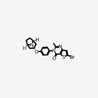 Cc1nc2cc(Br)sc2c(=O)n1-c1ccc(O[C@@H]2C[C@H]3CC[C@@H](C2)N3C)cc1